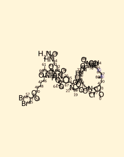 COc1cc2cc(c1Cl)N(C)C(=O)C[C@H](OC(=O)[C@H](C)N(C)C(=O)c1ccc(NC(=O)[C@H](CCCNC(N)=O)NC(=O)[C@@H](NC(=O)CCCCCOC(=O)C(CBr)CBr)C(C)C)c(S(C)(=O)=O)c1)[C@]1(C)O[C@H]1[C@H](C)[C@@H]1C[C@@](O)(NC(=O)O1)[C@H](OC)/C=C/C=C(\C)C2